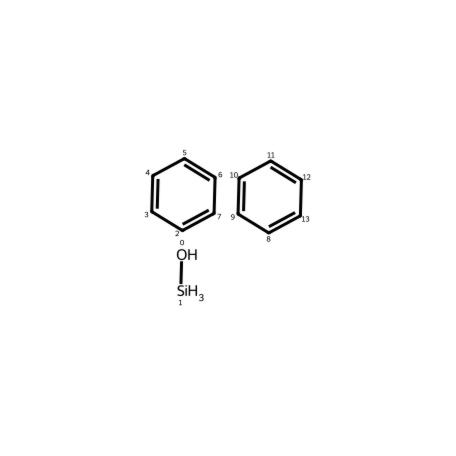 O[SiH3].c1ccccc1.c1ccccc1